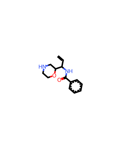 C=CC(NC(=O)c1ccccc1)C1CNCCO1